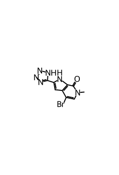 Cn1cc(Br)c2cc(-c3nnn[nH]3)[nH]c2c1=O